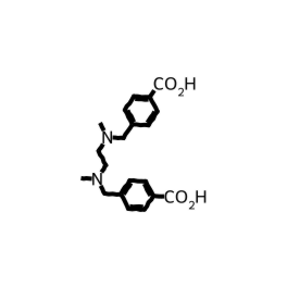 CN(CCN(C)Cc1ccc(C(=O)O)cc1)Cc1ccc(C(=O)O)cc1